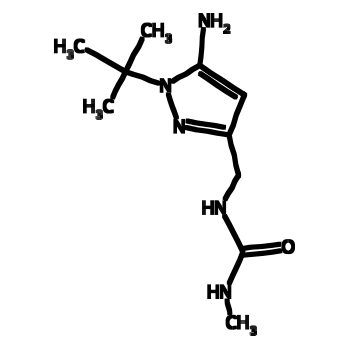 CNC(=O)NCc1cc(N)n(C(C)(C)C)n1